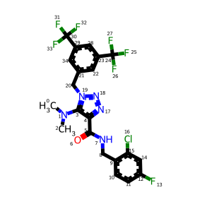 CN(C)c1c(C(=O)NCc2ccc(F)cc2Cl)nnn1Cc1cc(C(F)(F)F)cc(C(F)(F)F)c1